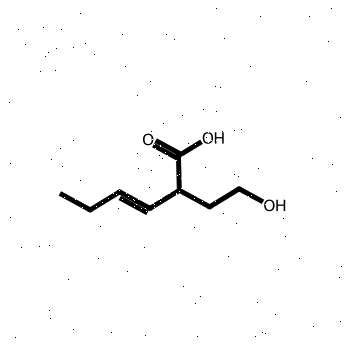 CC/C=C/C(CCO)C(=O)O